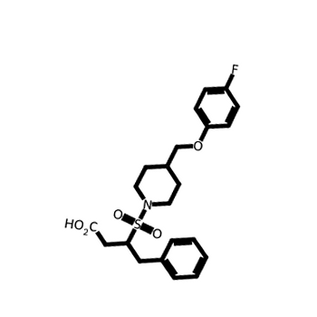 O=C(O)CC(Cc1ccccc1)S(=O)(=O)N1CCC(COc2ccc(F)cc2)CC1